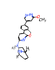 COc1cc(-c2ccc3c(c2)COc2nc(N(C)[C@@H]4C[C@H]5CC[C@@H](C4)N5)ccc2-3)cnn1